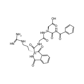 N=C(N)NCCC[C@@]1(C(=O)NCC(=O)N[C@@H](CC(=O)O)C(=O)NC(=O)c2ccccc2)NC(=O)c2ccccc2C1=O